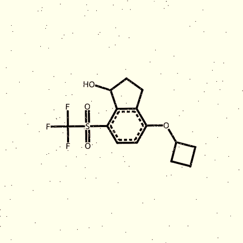 O=S(=O)(c1ccc(OC2CCC2)c2c1C(O)CC2)C(F)(F)F